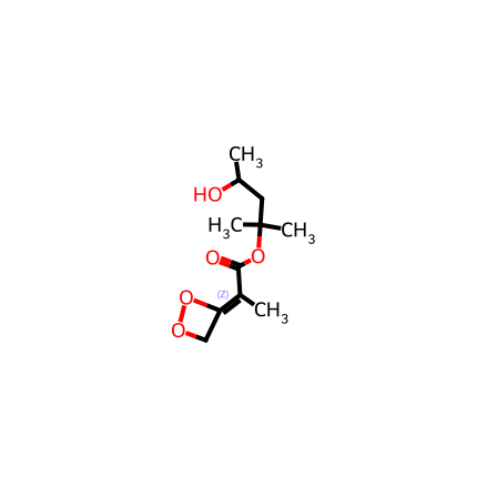 C/C(C(=O)OC(C)(C)CC(C)O)=C1\COO1